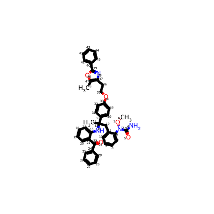 CON(C(N)=O)c1ccccc1CC(C)(Nc1ccccc1C(=O)c1ccccc1)c1ccc(OCCc2nc(-c3ccccc3)oc2C)cc1